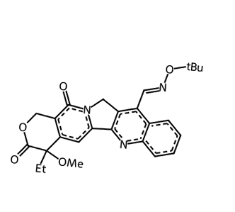 CCC1(OC)C(=O)OCc2c1cc1n(c2=O)Cc2c-1nc1ccccc1c2/C=N/OC(C)(C)C